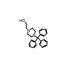 OCCN1CCN(C(c2ccccc2)(c2ccccc2)c2ccccc2)CC1